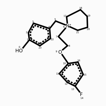 Oc1ccc(C[N+]2(CCOc3ccc(F)cc3)CCCCC2)cc1